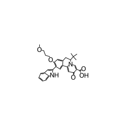 COCCCOc1cc2c(cc1-c1cc3ccccc3[nH]1)-c1cc(=O)c(C(=O)O)cn1C(C(C)(C)C)C2